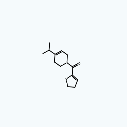 CC(C)C1=CCN(C(=O)C2=CCCS2)CC1